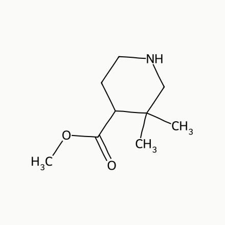 COC(=O)C1CCNCC1(C)C